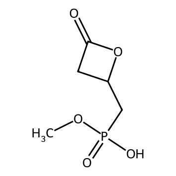 COP(=O)(O)CC1CC(=O)O1